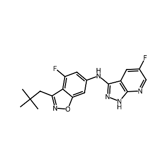 CC(C)(C)Cc1noc2cc(Nc3n[nH]c4ncc(F)cc34)cc(F)c12